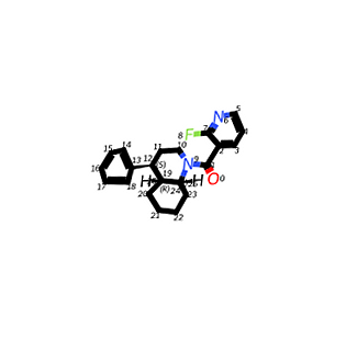 O=C(c1cccnc1F)N1CC[C@H](c2ccccc2)[C@H]2CCCC[C@H]21